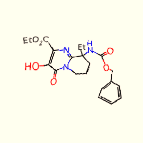 CCOC(=O)c1nc2n(c(=O)c1O)CCCC2(CC)NC(=O)OCc1ccccc1